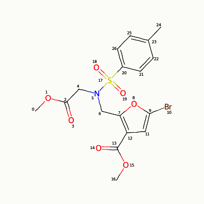 COC(=O)CN(Cc1oc(Br)cc1C(=O)OC)S(=O)(=O)c1ccc(C)cc1